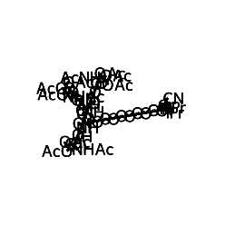 CC(=O)NC1CC(OC(C)=O)C(COC(C)=O)OC1OCCOCCNC(=O)C(CCC(=O)NC(CCC(=O)NCCOCCOC1OC(COC(C)=O)C(OC(C)=O)C(OC(C)=O)C1NC(C)=O)C(=O)NCCOCCOC1OC(COC(C)=O)C(OC(C)=O)C(OC(C)=O)C1NC(C)=O)NC(=O)CCOCCOCCOCCOCCOCCOCCOCCOCCOP(OCCC#N)N(C(C)C)C(C)C